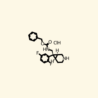 Cl.O=C(NC[C@]1(c2cc(F)ccc2F)[C@@H]2CCNC[C@@H]21)OCc1ccccc1